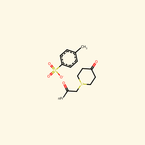 CCCC(=O)C[S+]1CCC(=O)CC1.Cc1ccc(S(=O)(=O)[O-])cc1